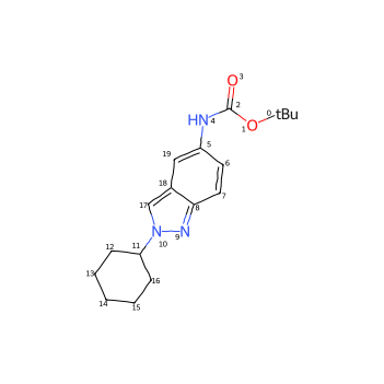 CC(C)(C)OC(=O)Nc1ccc2nn(C3CCCCC3)cc2c1